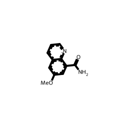 COc1cc(C(N)=O)c2ncccc2c1